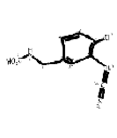 O=C(O)NCc1ccc(Cl)c(N=C=S)c1